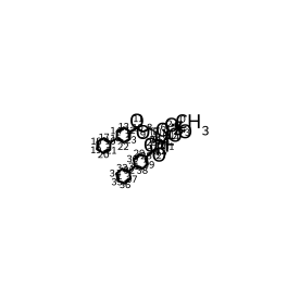 CS(=O)(=O)O[C@@H]1O[C@H](COC(=O)c2ccc(-c3ccccc3)cc2)[C@@H](OC(=O)c2ccc(-c3ccccc3)cc2)C1(F)F